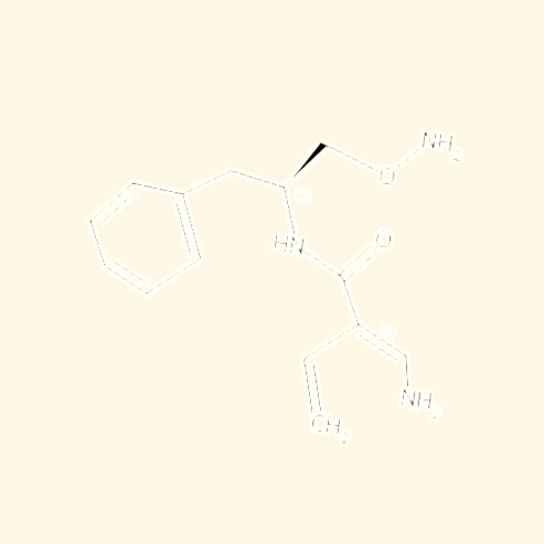 C=C/C(=C\N)C(=O)N[C@H](CON)Cc1ccccc1